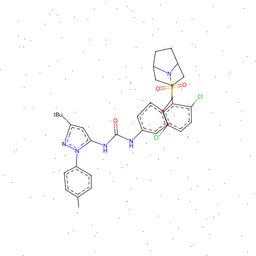 Cc1ccc(-n2nc(C(C)(C)C)cc2NC(=O)Nc2ccc(CC3CC4CCC(C3)N4S(=O)(=O)c3cc(Cl)ccc3Cl)cc2)cc1